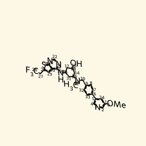 COc1cncc(-c2ccc(CN(C)[C@@H]3C[C@H](O)C[C@H](Nc4ncnc5sc(CC(F)(F)F)cc45)C3)cc2)c1